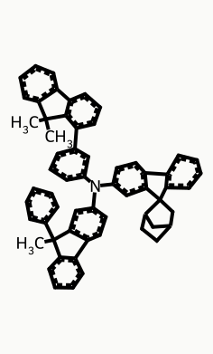 CC1(C)c2ccccc2-c2cccc(-c3cccc(N(c4ccc5c(c4)C(C)(c4ccccc4)c4ccccc4-5)c4ccc5c(c4)C4(CC6CCC4C6)c4ccccc4-5)c3)c21